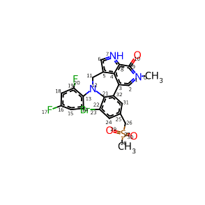 Cn1cc2c3c(c[nH]c3c1=O)CN(c1ccc(F)cc1F)c1c(Br)cc(CS(C)(=O)=O)cc1-2